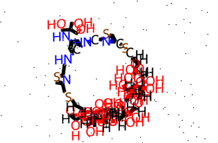 CC1(CO)O[C@@H]2O[C@H]3C(O)C(O)[C@H](O[C@@H]3CO)O[C@H]3C(O)C(O)[C@H](O[C@@H]3CO)O[C@H]3C(O)C(O)[C@@H]4O[C@@H]3CSCc3csc(n3)CNc3cc(cc(NC(CO)(CO)CO)c3)NCc3nc(cs3)CSC[C@H]3O[C@H](O[C@H]1C(O)C2O)C(O)C(O)[C@@H]3O[C@@H]1O[C@H](CO)[C@@H](O[C@H]2O[C@H](CO)[C@@H](O4)C(O)C2O)C(O)C1O